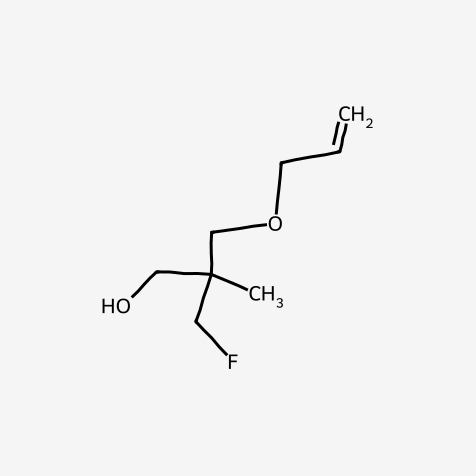 C=CCOCC(C)(CO)CF